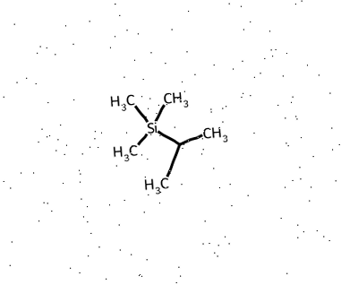 C[C](C)[Si](C)(C)C